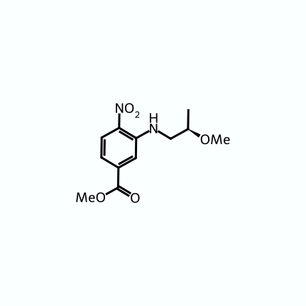 COC(=O)c1ccc([N+](=O)[O-])c(NC[C@@H](C)OC)c1